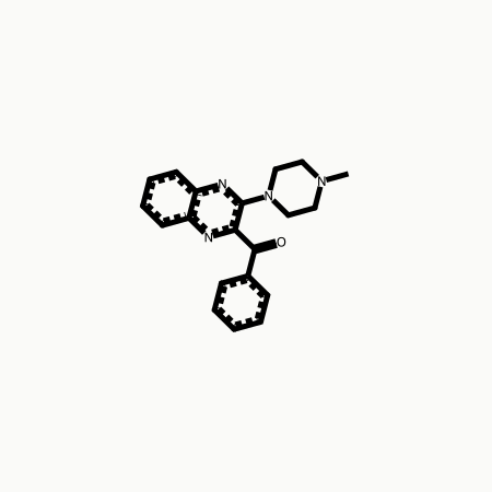 CN1CCN(c2nc3ccccc3nc2C(=O)c2ccccc2)CC1